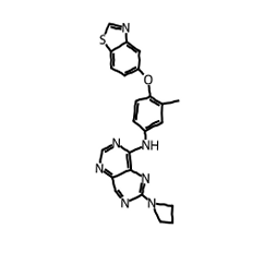 Cc1cc(Nc2ncnc3cnc(N4CCC4)nc23)ccc1Oc1ccc2scnc2c1